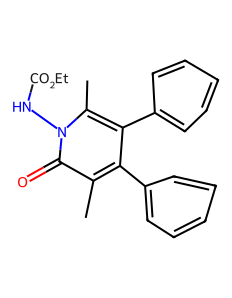 CCOC(=O)Nn1c(C)c(-c2ccccc2)c(-c2ccccc2)c(C)c1=O